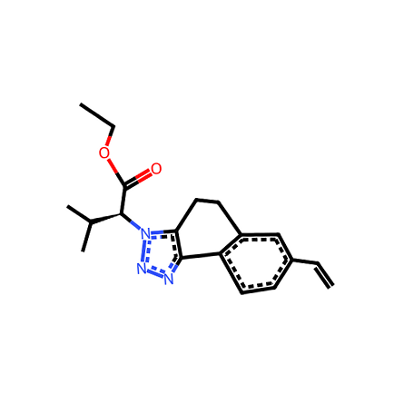 C=Cc1ccc2c(c1)CCc1c-2nnn1[C@H](C(=O)OCC)C(C)C